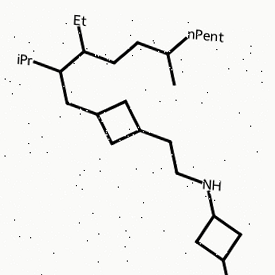 CCCCCC(C)CCC(CC)C(CC1CC(CCNC2CC(C)C2)C1)C(C)C